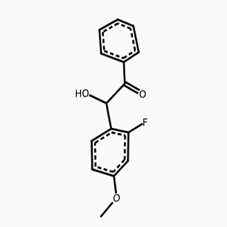 COc1ccc(C(O)C(=O)c2ccccc2)c(F)c1